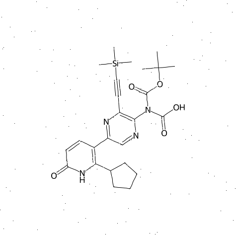 CC(C)(C)OC(=O)N(C(=O)O)c1ncc(-c2ccc(=O)[nH]c2C2CCCC2)nc1C#C[Si](C)(C)C